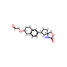 O=CCO[C@H]1CCc2cc([C@H]3CC[C@]4(COC(=O)N4)C3)ccc2C1